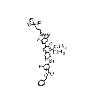 CC(C)n1c(=O)c(-c2cc(F)c(NSCCC(F)(F)F)c(F)c2)nc2cnc(N[C@H]3CC(F)CN(C(=O)OCc4ccccc4)C3)nc21